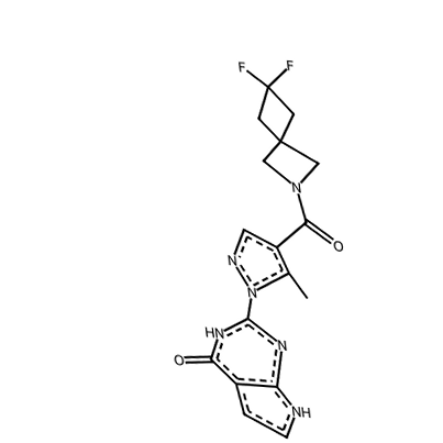 Cc1c(C(=O)N2CC3(C2)CC(F)(F)C3)cnn1-c1nc2[nH]ccc2c(=O)[nH]1